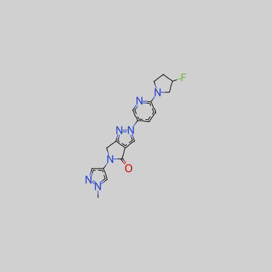 Cn1cc(N2Cc3nn(-c4ccc(N5CCC(F)C5)nc4)cc3C2=O)cn1